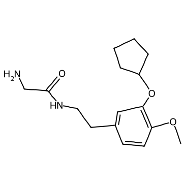 COc1ccc(CCNC(=O)CN)cc1OC1CCCC1